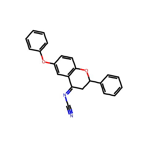 N#CN=C1CC(c2ccccc2)Oc2ccc(Oc3ccccc3)cc21